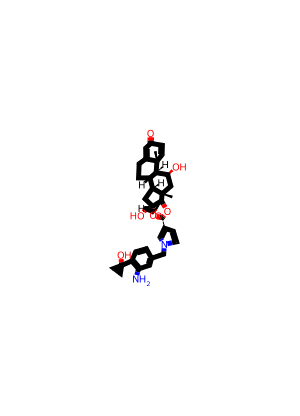 C[C@]12C=CC(=O)C=C1CC[C@@H]1[C@@H]2[C@@H](O)C[C@@]2(C)[C@H]1C[C@H]1O[C@@H](c3ccn(Cc4ccc(C5(O)CC5)c(N)c4)c3)O[C@]12C(=O)CO